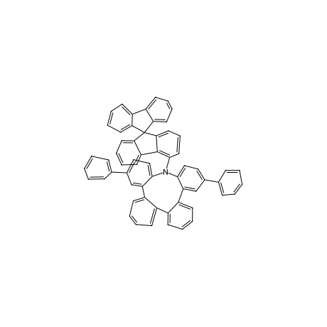 c1ccc(-c2ccc3c(c2)c2ccccc2c2ccccc2c2cc(-c4ccccc4)ccc2n3-c2cccc3c2-c2ccccc2C32c3ccccc3-c3ccccc32)cc1